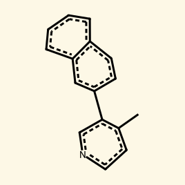 Cc1ccncc1-c1ccc2ccccc2c1